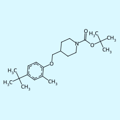 Cc1cc(C(C)(C)C)ccc1OCC1CCN(C(=O)OC(C)(C)C)CC1